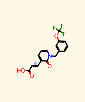 O=C(O)/C=C/c1cccn(Cc2cccc(OC(F)(F)F)c2)c1=O